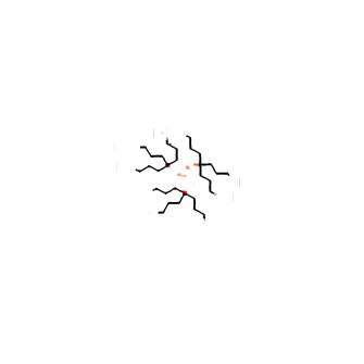 CCCCC(CCCC)(CCCC)OP(OC(CCCC)(CCCC)CCCC)OC(CCCC)(CCCC)CCCC